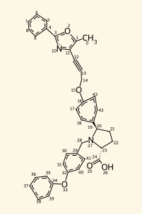 Cc1oc(-c2ccccc2)nc1C#CCOc1ccc([C@H]2CC[C@H](C(=O)O)N2Cc2ccc(Oc3ccccc3)cc2)cc1